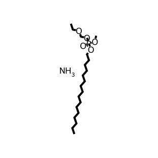 CCCCCCCCCCCCCCCCOP(=O)(OC)OCOCC.N